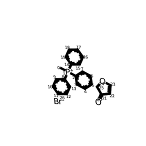 C[P+](c1ccccc1)(c1ccccc1)c1ccccc1.O=C1C=COC1.[Br-]